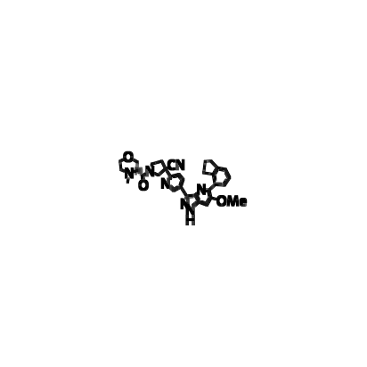 COc1cc2[nH]nc(-c3ccc(C4(C#N)CCN(C(=O)[C@H]5COCCN5C)C4)nc3)c2nc1-c1cccc2c1CCC2